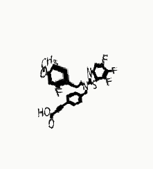 COc1ccc(CCN(Cc2ccc(C#CC(=O)O)cc2)c2nc3cc(F)c(F)c(F)c3s2)c(F)c1